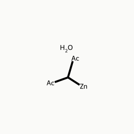 CC(=O)[CH]([Zn])C(C)=O.O